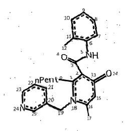 CCCCCc1c(C(=O)Nc2ccccc2C)c(=O)cc(C)n1Cc1cccnc1